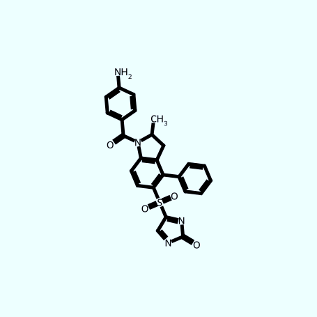 CC1Cc2c(ccc(S(=O)(=O)C3=NC(=O)N=C3)c2-c2ccccc2)N1C(=O)c1ccc(N)cc1